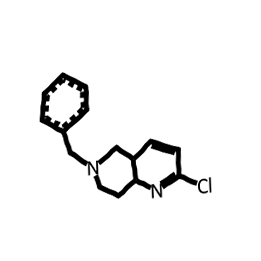 ClC1=NC2CCN(Cc3ccccc3)CC2C=C1